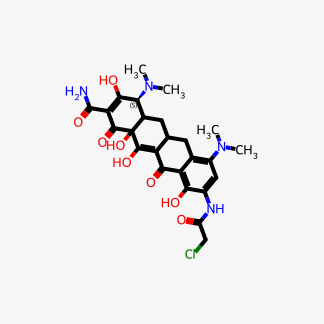 CN(C)c1cc(NC(=O)CCl)c(O)c2c1CC1CC3[C@H](N(C)C)C(O)=C(C(N)=O)C(=O)C3(O)C(O)=C1C2=O